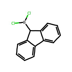 ClB(Cl)C1c2ccccc2-c2ccccc21